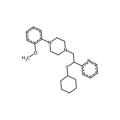 COc1ccccc1N1CCN(CC(SC2CCCCC2)c2ccccn2)CC1